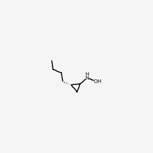 CCCC[C@H]1CC1NO